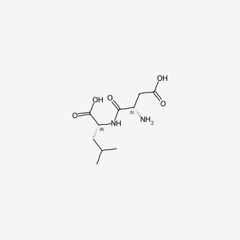 CC(C)C[C@@H](NC(=O)[C@@H](N)CC(=O)O)C(=O)O